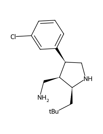 CC(C)(C)C[C@@H]1NC[C@H](c2cccc(Cl)c2)[C@@H]1CN